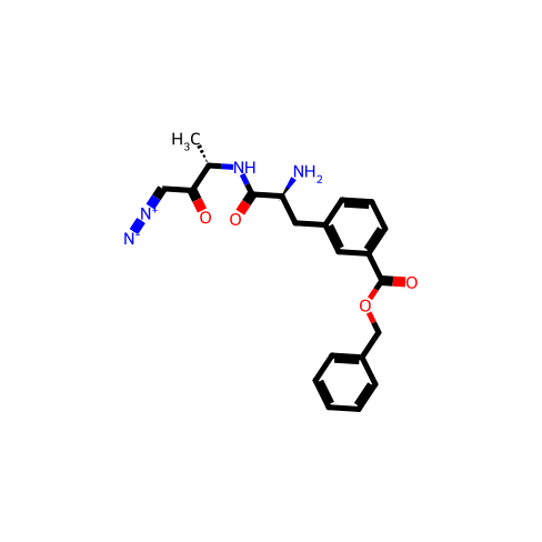 C[C@H](NC(=O)[C@@H](N)Cc1cccc(C(=O)OCc2ccccc2)c1)C(=O)C=[N+]=[N-]